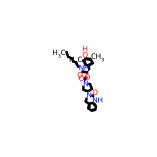 CCCCCCCNC(=O)[C@@H](Cc1cc(C)c(O)c(C)c1)OC(=O)N1CCC(N2CCc3ccccc3NC2=O)CC1